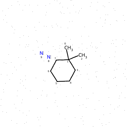 CC1(C)CCCCC1.[N].[N]